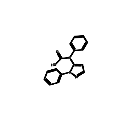 O=C(O)N(c1ccccc1)c1ccnn1-c1ccccc1